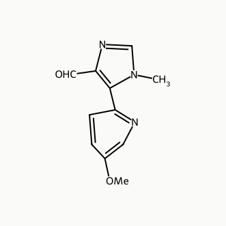 COc1ccc(-c2c(C=O)ncn2C)nc1